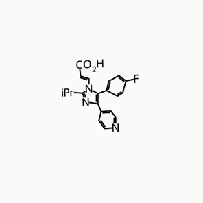 CC(C)c1nc(-c2ccncc2)c(-c2ccc(F)cc2)n1C=CC(=O)O